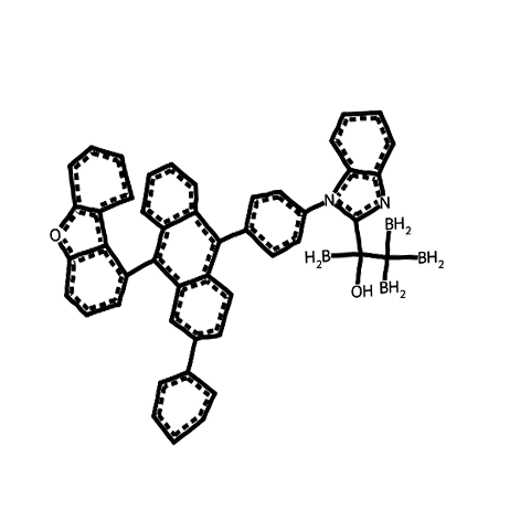 BC(B)(B)C(B)(O)c1nc2ccccc2n1-c1ccc(-c2c3ccccc3c(-c3cccc4oc5ccccc5c34)c3cc(-c4ccccc4)ccc23)cc1